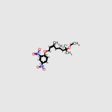 CCOC(C)(C)CCCC(C)=CCOc1ccc([N+](=O)[O-])cc1[N+](=O)[O-]